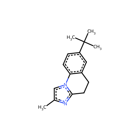 Cc1cn2c(n1)CCc1cc(C(C)(C)C)ccc1-2